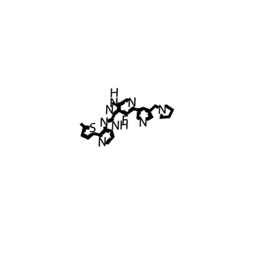 Cc1ccc(-c2nccc3[nH]c(-c4n[nH]c5cnc(-c6cncc(CN7CCCC7)c6)c(F)c45)nc23)s1